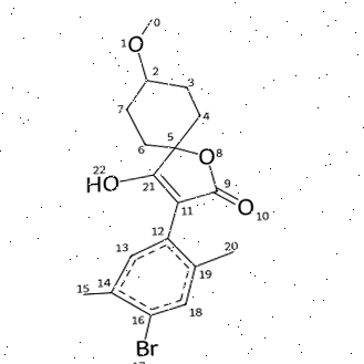 COC1CCC2(CC1)OC(=O)C(c1cc(C)c(Br)cc1C)=C2O